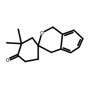 CC1(C)CC2(CCC1=O)Cc1ccccc1CO2